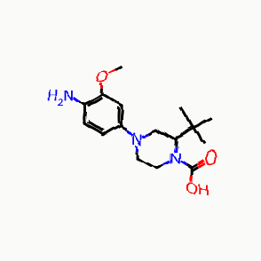 COc1cc(N2CCN(C(=O)O)C(C(C)(C)C)C2)ccc1N